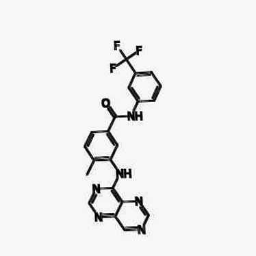 Cc1ccc(C(=O)Nc2cccc(C(F)(F)F)c2)cc1Nc1ncnc2cncnc12